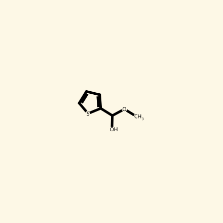 COC(O)c1cccs1